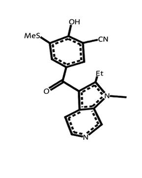 CCc1c(C(=O)c2cc(C#N)c(O)c(SC)c2)c2ccncc2n1C